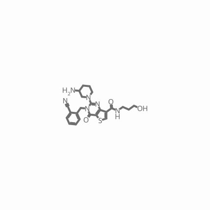 N#Cc1ccccc1Cn1c(N2CCCC(N)C2)nc2c(C(=O)NCCCO)csc2c1=O